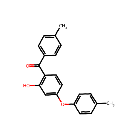 Cc1ccc(Oc2ccc(C(=O)c3ccc(C)cc3)c(O)c2)cc1